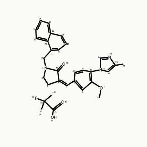 COc1cc(/C=C2/CCN(Cc3cccc4ccccc34)C2=O)ccc1-n1cnc(C)c1.O=C(O)C(F)(F)F